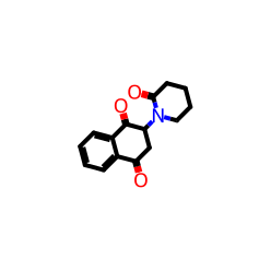 O=C1CC(N2CCCCC2=O)C(=O)c2ccccc21